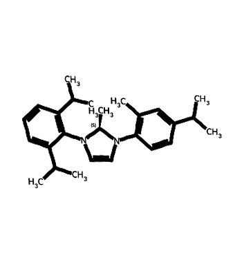 Cc1cc(C(C)C)ccc1N1C=CN(c2c(C(C)C)cccc2C(C)C)[C@H]1C